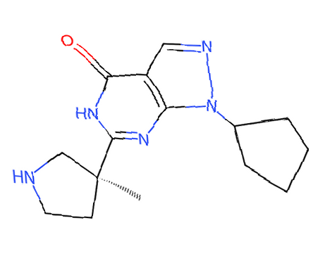 C[C@]1(c2nc3c(cnn3C3CCCC3)c(=O)[nH]2)CCNC1